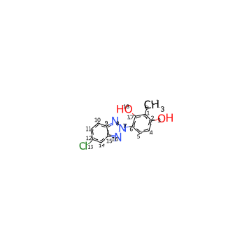 Cc1c(O)ccc(-n2nc3ccc(Cl)cc3n2)c1O